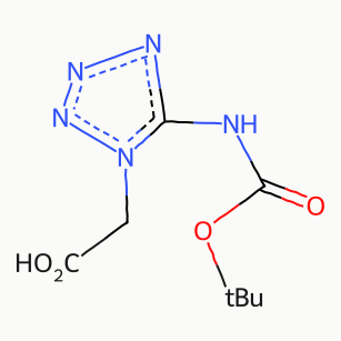 CC(C)(C)OC(=O)Nc1nnnn1CC(=O)O